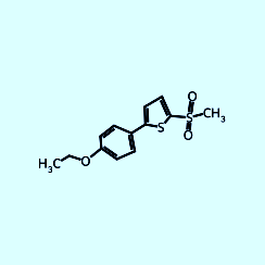 CCOc1ccc(-c2ccc(S(C)(=O)=O)s2)cc1